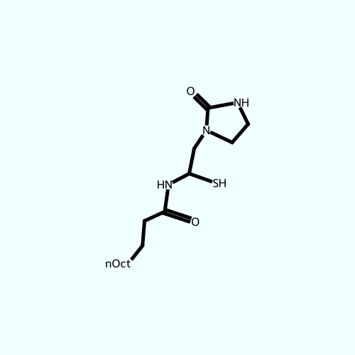 CCCCCCCCCCC(=O)NC(S)CN1CCNC1=O